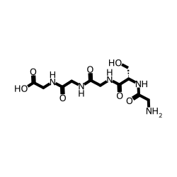 NCC(=O)N[C@@H](CO)C(=O)NCC(=O)NCC(=O)NCC(=O)O